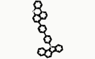 c1ccc2c(c1)Oc1ccc(-c3ccc(-c4ccc(-n5c6ccccc6c6ccc7ccccc7c65)cc4)cc3)c3cccc-2c13